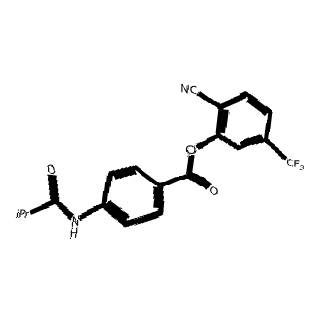 CC(C)C(=O)Nc1ccc(C(=O)Oc2cc(C(F)(F)F)ccc2C#N)cc1